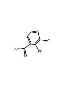 CCCC(=O)c1cccc(Cl)c1Br